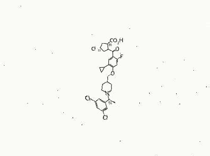 C[C@@H](c1cc(Cl)cc(Cl)c1)N1CCC(COc2cc(F)c(C(=O)C3C[C@H](Cl)C[C@H]3C(=O)O)cc2C2CC2)CC1